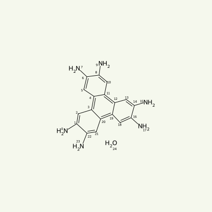 Nc1cc2c3cc(N)c(N)cc3c3cc(N)c(N)cc3c2cc1N.O